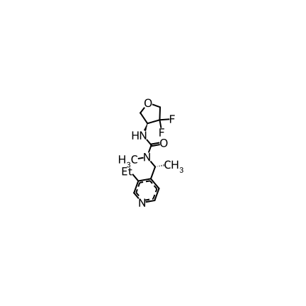 CCc1cnccc1[C@@H](C)N(C)C(=O)N[C@H]1COCC1(F)F